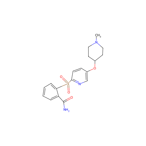 CN1CCC(Oc2ccc(S(=O)(=O)c3ccccc3C(N)=O)nc2)CC1